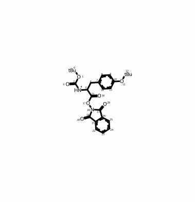 CC(C)(C)OC(=O)NC(Cc1ccc(OC(C)(C)C)cc1)C(=O)ON1C(=O)c2ccccc2C1=O